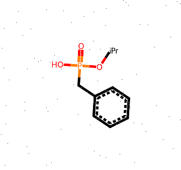 CC(C)OP(=O)(O)Cc1ccccc1